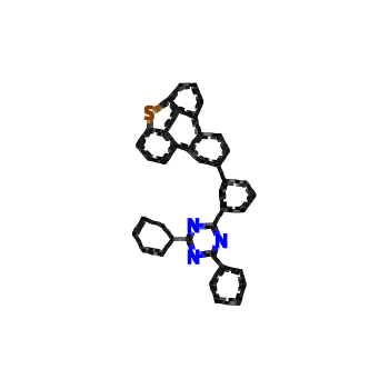 C1=CCC(c2nc(-c3ccccc3)nc(-c3cccc(-c4ccc5c(c4)c4cccc6sc7cccc5c7c64)c3)n2)C=C1